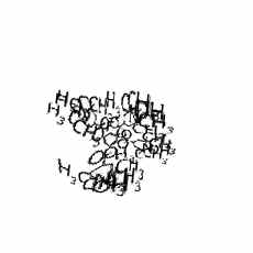 CC1(C)CC(C(=O)Oc2cc(OC(=O)C3CC(C)(C)N(O)C(C)(C)C3)c(OC(=O)C3CC(C)(C)N(O)C(C)(C)C3)c(OC(=O)C3CC(C)(C)N(O)C(C)(C)C3)c2F)CC(C)(C)N1O